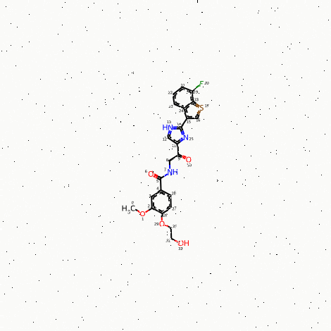 COc1cc(C(=O)NCC(=O)c2c[nH]c(-c3csc4c(F)cccc34)n2)ccc1OCCO